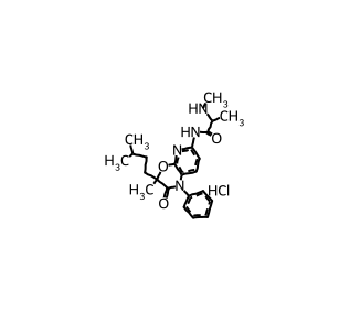 CNC(C)C(=O)Nc1ccc2c(n1)OC(C)(CCC(C)C)C(=O)N2c1ccccc1.Cl